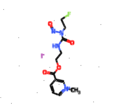 C[n+]1cccc(C(=O)OCCNC(=O)N(CCF)N=O)c1.[I-]